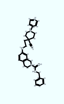 N#CC1(CCOc2ccc3c(c2)CN(C(=O)OCc2ccccc2)CC3)CCN(c2ccncc2)CC1